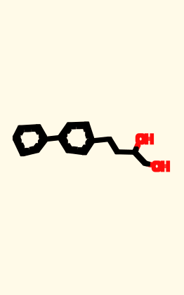 OCC(O)CCc1ccc(-c2ccccc2)cc1